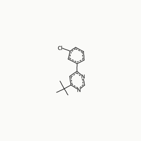 CC(C)(C)c1cc(-c2cccc(Cl)c2)ncn1